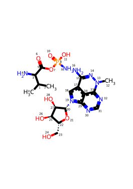 CC(C)C(N)C(=O)OP(N)(=O)O.CN1N=C(N)c2cn([C@@H]3O[C@H](CO)[C@@H](O)[C@H]3O)c3ncnc1c23